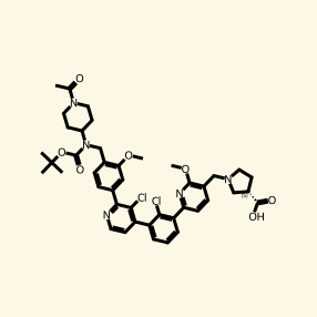 COc1cc(-c2nccc(-c3cccc(-c4ccc(CN5CC[C@H](C(=O)O)C5)c(OC)n4)c3Cl)c2Cl)ccc1CN(C(=O)OC(C)(C)C)C1CCN(C(C)=O)CC1